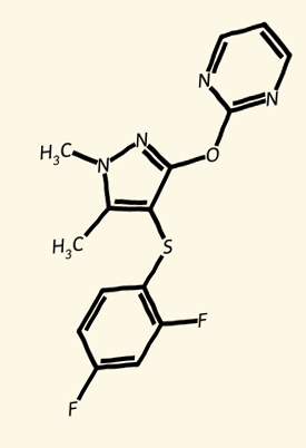 Cc1c(Sc2ccc(F)cc2F)c(Oc2ncccn2)nn1C